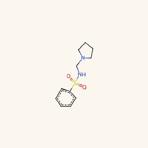 O=S(=O)(NCN1CCCC1)c1ccccc1